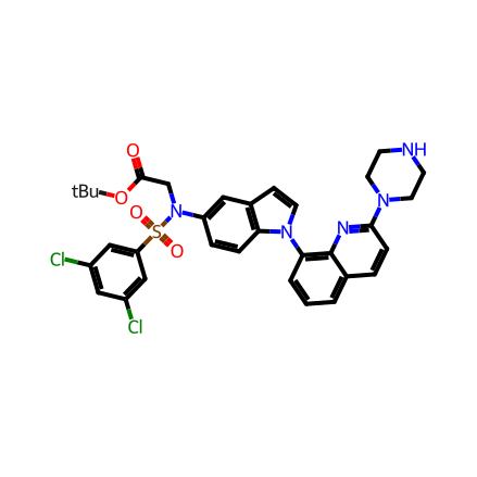 CC(C)(C)OC(=O)CN(c1ccc2c(ccn2-c2cccc3ccc(N4CCNCC4)nc23)c1)S(=O)(=O)c1cc(Cl)cc(Cl)c1